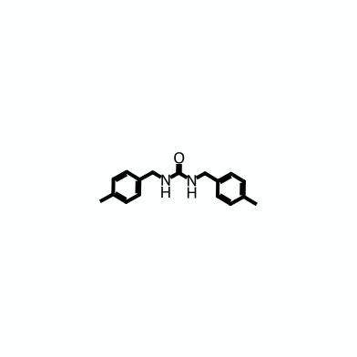 Cc1ccc(CNC(=O)NCc2ccc(C)cc2)cc1